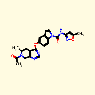 CC(=O)N1Cc2ncnc(Oc3ccc4c(ccn4C(=O)Nc4cc(C)on4)c3)c2C[C@@H]1C